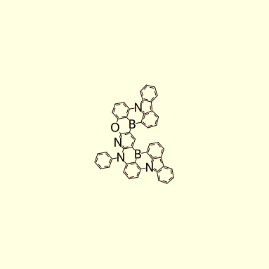 c1ccc(N2c3cccc4c3B(c3cc5c(nc32)Oc2cccc3c2B5c2cccc5c6ccccc6n-3c25)c2cccc3c5ccccc5n-4c23)cc1